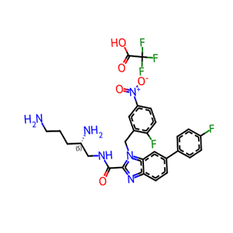 NCCC[C@H](N)CNC(=O)c1nc2ccc(-c3ccc(F)cc3)cc2n1Cc1cc([N+](=O)[O-])ccc1F.O=C(O)C(F)(F)F